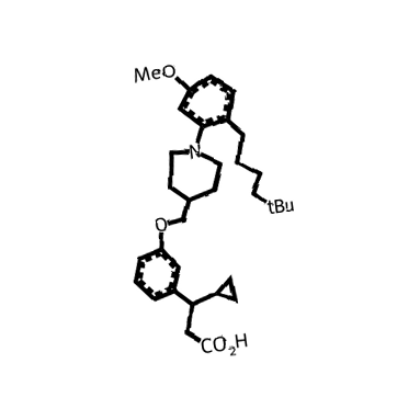 COc1ccc(CCCCC(C)(C)C)c(N2CCC(COc3cccc(C(CC(=O)O)C4CC4)c3)CC2)c1